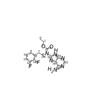 CCOC(=O)N(SCc1cccc(F)c1F)c1nc2c(N)ncnc2[nH]1